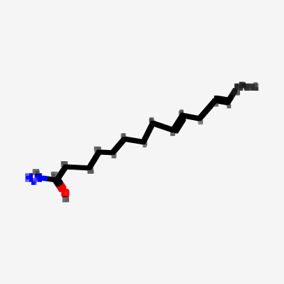 CCCCCC=CCC=CCCCCCCCC(N)=O